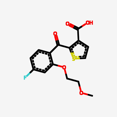 COCCOc1cc(F)ccc1C(=O)c1sccc1C(=O)O